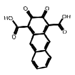 O=C(O)C1=c2cc3ccccc3cc2=C(C(=O)O)C(=O)C1=O